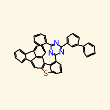 c1ccc(-c2cccc(-c3nc(-c4ccccc4)nc(-c4cccc5sc6cc7c8c(cccc8c6c45)-c4ccccc4-7)n3)c2)cc1